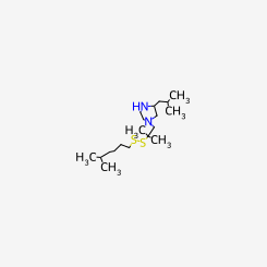 CC(C)CCCCSSC(C)(C)CN1CCNC(CC(C)C)C1